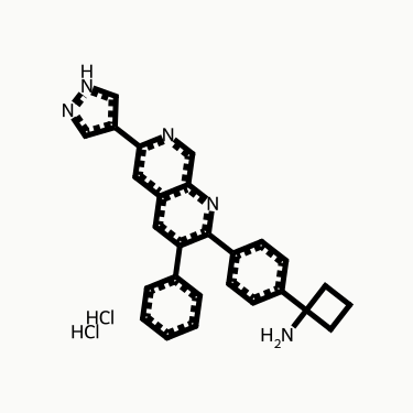 Cl.Cl.NC1(c2ccc(-c3nc4cnc(-c5cn[nH]c5)cc4cc3-c3ccccc3)cc2)CCC1